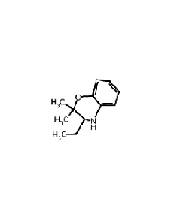 CCC1Nc2ccccc2OC1(C)C